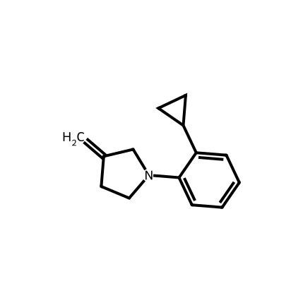 C=C1CCN(c2ccccc2C2CC2)C1